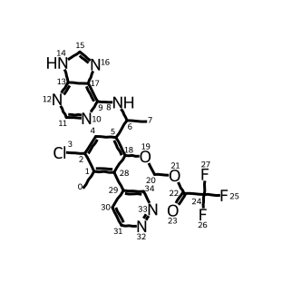 Cc1c(Cl)cc(C(C)Nc2ncnc3[nH]cnc23)c(OCOC(=O)C(F)(F)F)c1-c1ccnnc1